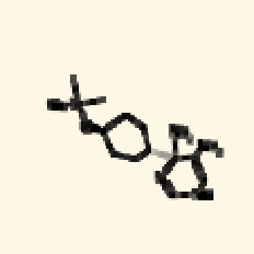 CC(C)(C)[Si](C)(C)O[C@H]1CC[C@H](C2(N)N=CNC=C2N)CC1